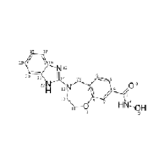 O=C(NO)c1ccc2c(c1)OCCN(c1nc3ccccc3[nH]1)C2